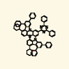 c1ccc(-c2cc(-c3ccccc3)c3c4c(C5CCCCC5)ccc5c4n(c3c2)-c2cc(-c3nc(-c4ccccc4)nc(-c4ccccc4)n3)cc3c2B5c2ccc(C4CCCCC4)c4c5c(-c6ccccc6)cc(-c6ccccc6)cc5n-3c24)cc1